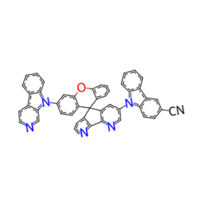 N#Cc1ccc2c(c1)c1ccccc1n2-c1cnc2c(c1)C1(c3ccccc3Oc3cc(-n4c5ccccc5c5ccncc54)ccc31)c1cccnc1-2